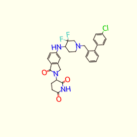 O=C1CCC(N2Cc3cc(NC4CCN(Cc5ccccc5-c5ccc(Cl)cc5)CC4(F)F)ccc3C2=O)C(=O)N1